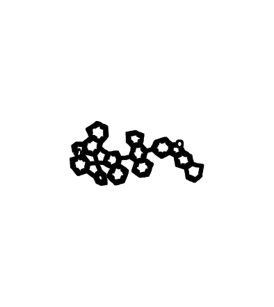 C1=Cc2cc3c(cc2CC1)oc1ccc(-c2c4ccccc4c(-c4cc5c(c6ccccc46)C4(c6ccccc6-c6ccccc64)c4c-5c5ccccc5c5ccccc45)c4ccccc24)cc13